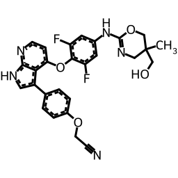 CC1(CO)CN=C(Nc2cc(F)c(Oc3ccnc4[nH]cc(-c5ccc(OCC#N)cc5)c34)c(F)c2)OC1